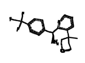 CC1(c2cccnc2[C@@H](N)c2ccc(C(F)(F)F)cc2)COC1